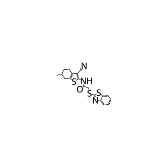 CC1CCc2c(sc(NC(=O)CSc3nc4ccccc4s3)c2C#N)C1